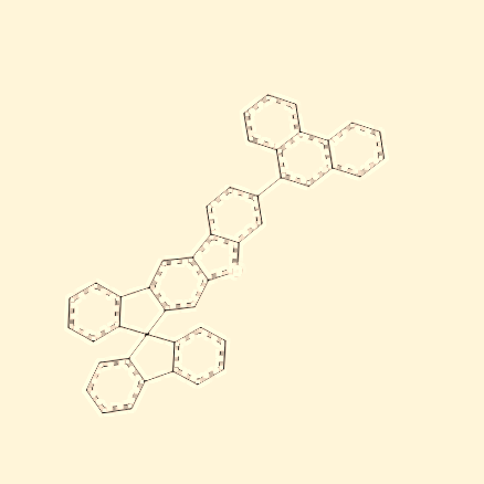 c1ccc2c(c1)-c1ccccc1C21c2ccccc2-c2cc3c(cc21)oc1cc(-c2cc4ccccc4c4ccccc24)ccc13